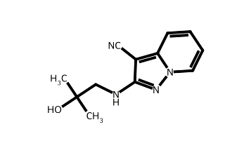 CC(C)(O)CNc1nn2ccccc2c1C#N